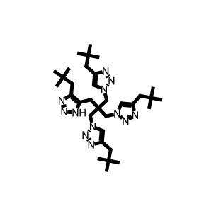 CC(C)(C)Cc1cn(CC(Cc2[nH]nnc2CC(C)(C)C)(Cn2cc(CC(C)(C)C)nn2)Cn2cc(CC(C)(C)C)nn2)nn1